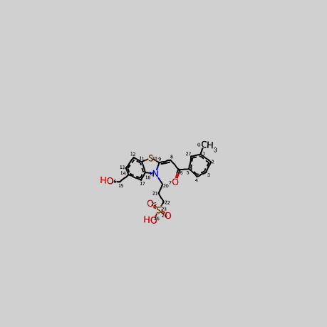 Cc1cccc(C(=O)/C=C2/Sc3ccc(CO)cc3N2CCCS(=O)(=O)O)c1